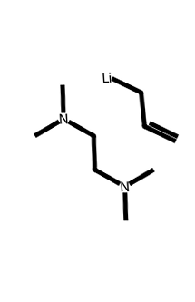 CN(C)CCN(C)C.[Li][CH2]C=C